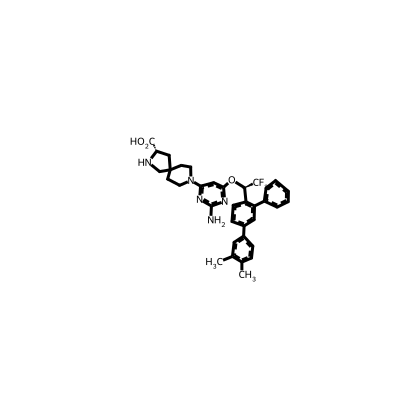 Cc1ccc(-c2ccc([C@@H](Oc3cc(N4CCC5(CC4)CN[C@H](C(=O)O)C5)nc(N)n3)C(F)(F)F)c(-c3ccccc3)c2)cc1C